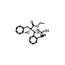 CCOC(=O)[C@](O)(Cc1ccccc1)[C@H](NC(=O)O)c1ccccc1C#N